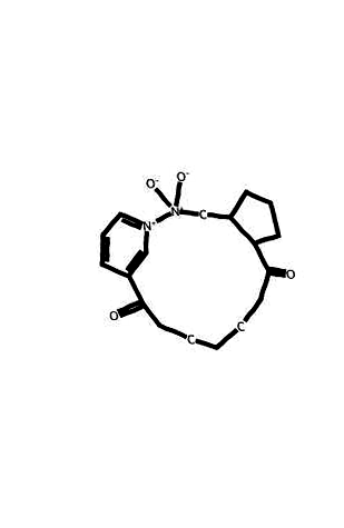 O=C1CCCCCC(=O)C2CCCC2C[N+]([O-])([O-])[n+]2cccc1c2